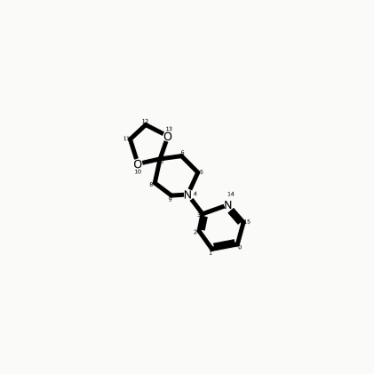 c1ccc(N2CCC3(CC2)OCCO3)nc1